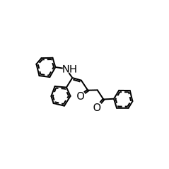 O=C(C=C(Nc1ccccc1)c1ccccc1)CC(=O)c1ccccc1